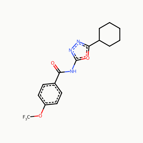 O=C(Nc1nnc(C2CCCCC2)o1)c1ccc(OC(F)(F)F)cc1